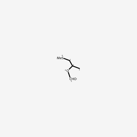 CSC[C](C)O[C]=O